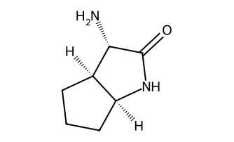 N[C@@H]1C(=O)N[C@H]2CCC[C@H]21